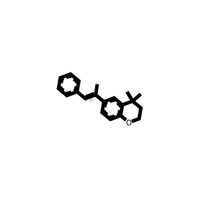 C/C(=C\c1ccccc1)c1ccc2c(c1)C(C)(C)CCO2